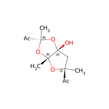 CC(=O)[C@@]1(C)O[C@@]2(C)O[C@](C)(C(C)=O)C[C@@]2(O)O1